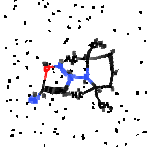 CC1(C)CCCC(C)(C)N1[n+]1cc([NH-])on1